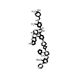 COc1cc(C[C@@H]2CCN(C3CC4(CCN(c5ccc(C(=O)NS(=O)(=O)c6ccc(NCC7CCC(C)(O)CC7)c([N+](=O)[O-])c6)c(N6c7cc8cc[nH]c8nc7O[C@H]7COCC[C@@H]76)c5)CC4)C3)[C@H](c3ccccc3C)C2)cnc1N1CCOCC1